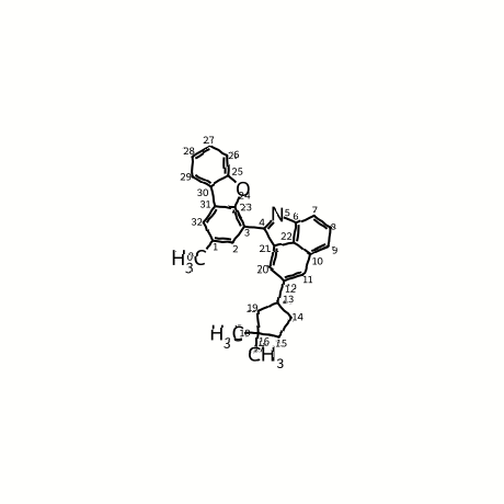 Cc1cc(C2=Nc3cccc4cc(C5CCC(C)(C)C5)cc2c34)c2oc3ccccc3c2c1